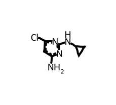 Nc1cc(Cl)nc(NC2CC2)n1